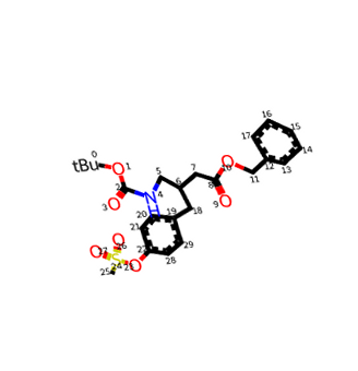 CC(C)(C)OC(=O)NCC(CC(=O)OCc1ccccc1)Cc1ccc(OS(C)(=O)=O)cc1